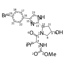 COC(=O)NC(C(=O)N1CC(O)C[C@H]1c1nc(-c2ccc(Br)cc2)c[nH]1)C(C)C